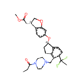 CCC(=O)N1CCN(Cc2c(C(C)(F)F)ccc3c2CC[C@H]3Oc2ccc3c(c2)OC[C@H]3CC(=O)OC)CC1